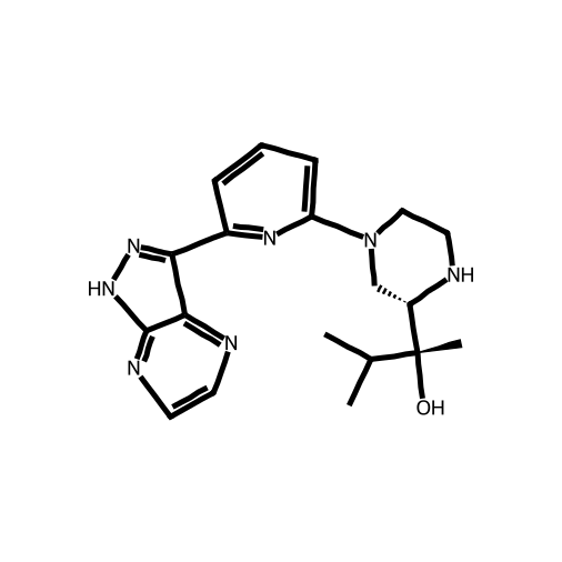 CC(C)[C@@](C)(O)[C@@H]1CN(c2cccc(-c3n[nH]c4nccnc34)n2)CCN1